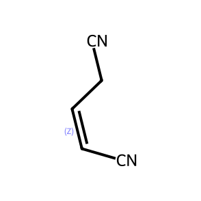 N#C/C=C\CC#N